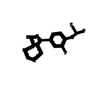 Fc1cc(-c2n[nH]c3ncncc23)ccc1OC(F)F